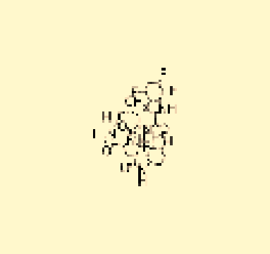 [2H]c1ccc2c(c1)C1(CC(C(N)=O)N(C(=O)[C@H](CC(C)C)N(C)C(=O)c3cc4c(F)cc(F)c(F)c4[nH]3)C1([2H])[2H])C(=O)N2